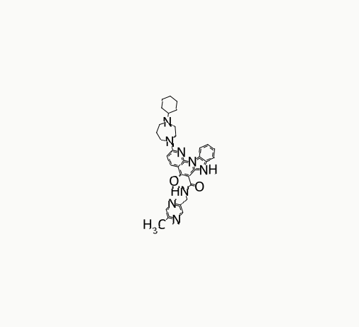 Cc1cnc(CNC(=O)c2c(=O)c3ccc(N4CCCN(C5CCCCC5)CC4)nc3n3c2[nH]c2ccccc23)cn1